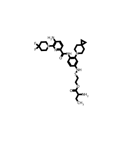 CCC(N)C(=O)OCCSNc1ccc(NC(=O)c2ccc(N)c(N3CCC(F)(F)CC3)n2)c(N2CCC3(CC2)CC3)c1